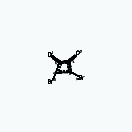 O=c1c(Br)c(Br)c1=O